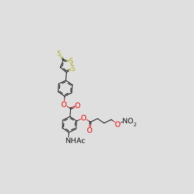 CC(=O)Nc1ccc(C(=O)Oc2ccc(-c3cc(=S)ss3)cc2)c(OC(=O)CCCO[N+](=O)[O-])c1